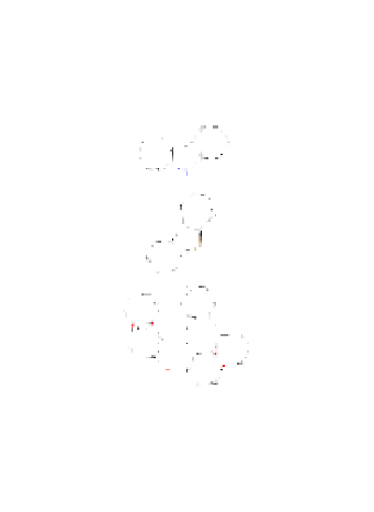 c1ccc(-c2ccc(-c3cccc4c3sc3ccc(-n5c6ccccc6c6ccccc65)cc34)c(-c3ccccc3)c2B2c3ccccc3Oc3ccccc32)cc1